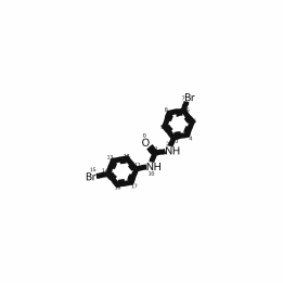 O=C(Nc1ccc(Br)cc1)Nc1ccc(Br)cc1